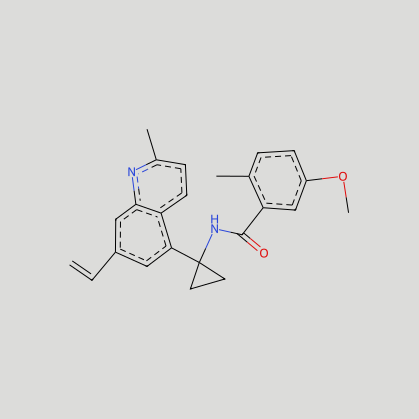 C=Cc1cc(C2(NC(=O)c3cc(OC)ccc3C)CC2)c2ccc(C)nc2c1